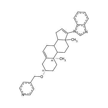 CC12CCC3C(CC=C4C[C@@H](OCc5ccncc5)CC[C@@]43C)C1CC=C2n1cnc2ccccc21